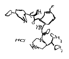 CC(C)C1CNCCN1C(=O)Nc1ccc(F)cc1C(=O)Nc1ccc(Cl)cn1.Cl